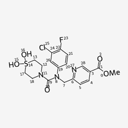 COC(=O)c1ccc(CN(C(=O)N2CCS(O)(O)CC2)c2ccc(F)c(Cl)c2)nc1